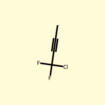 [CH2]C#CC(F)(F)Cl